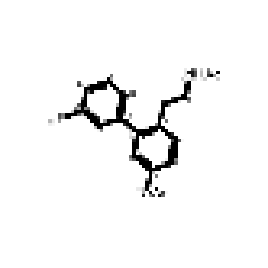 CC(=O)NCCc1ccc(OC(C)=O)cc1-c1cccc(F)c1